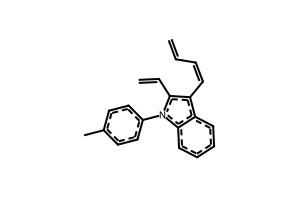 C=C/C=C\c1c(C=C)n(-c2ccc(C)cc2)c2ccccc12